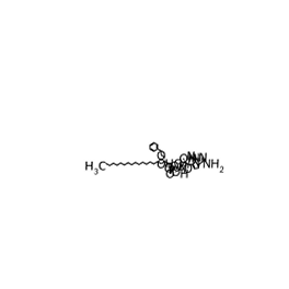 CCCCCCCCCCCCCCCCO[C@H](COCc1ccccc1)COP(=O)(O)OC1[C@H]2O[C@@](C#N)(c3ccc4c(N)ncnn34)[C@H](O)[C@@]12O